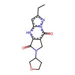 CCc1cc2[nH]c3c(c(=O)n2n1)CN(C1CCOC1)C3=O